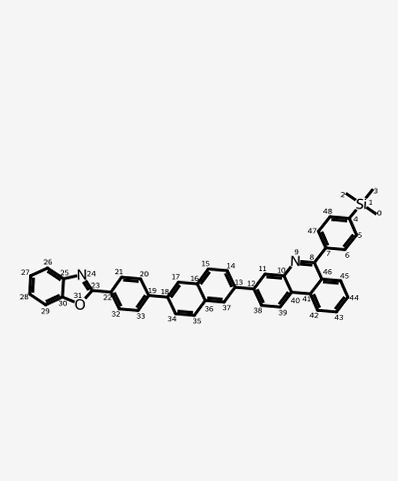 C[Si](C)(C)c1ccc(-c2nc3cc(-c4ccc5cc(-c6ccc(-c7nc8ccccc8o7)cc6)ccc5c4)ccc3c3ccccc23)cc1